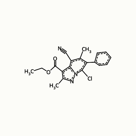 CCOC(=O)c1c(C)nn2c(Cl)c(-c3ccccc3)c(C)c(C#N)c12